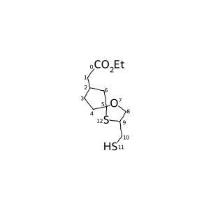 CCOC(=O)CC1CCC2(C1)OCC(CS)S2